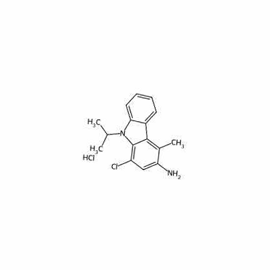 Cc1c(N)cc(Cl)c2c1c1ccccc1n2C(C)C.Cl